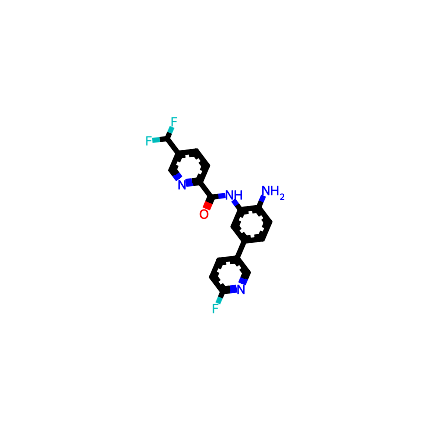 Nc1ccc(-c2ccc(F)nc2)cc1NC(=O)c1ccc(C(F)F)cn1